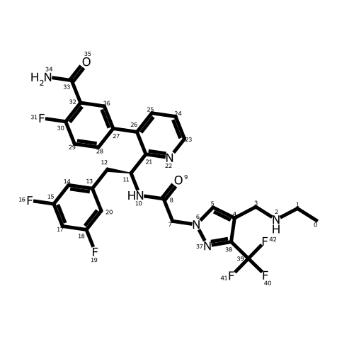 CCNCc1cn(CC(=O)N[C@@H](Cc2cc(F)cc(F)c2)c2ncccc2-c2ccc(F)c(C(N)=O)c2)nc1C(F)(F)F